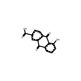 O=C(O)c1ccc2c(c1)C(=O)c1cccc(O)c1C2=O